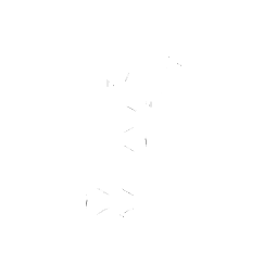 Cc1cc(COc2ccc(C(=O)N[C@]3(CC(=O)NO)CC[C@]4(CC3)CN4)cc2)c2ccccc2n1